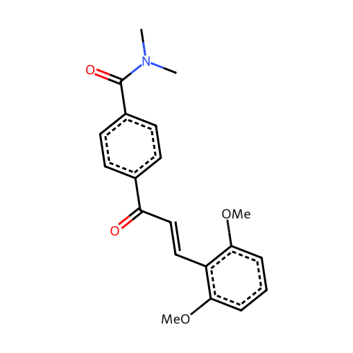 COc1cccc(OC)c1/C=C/C(=O)c1ccc(C(=O)N(C)C)cc1